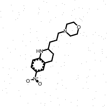 O=[N+]([O-])c1ccc2c(c1)CCC(CCCN1CCOCC1)N2